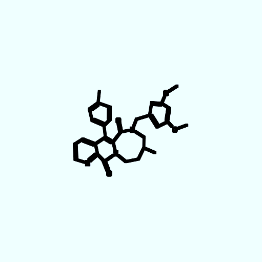 COc1cc(CN2CC(C)CCn3c(c(-c4ccc(C)cc4)c4cccnc4c3=O)C2=O)cc(OC)c1